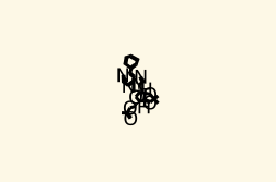 CC(=O)OC[C@H]1O[C@@H](n2cnc3c(-c4ccccc4)ncnc32)[C@@H]2OC(C)(C)O[C@@H]21